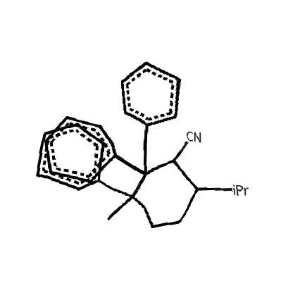 CC(C)C1CCC(C)(c2ccccc2)C(c2ccccc2)(c2ccccc2)C1C#N